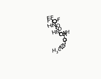 CN1CCN(Cc2ccc(-c3n[nH]c4cc(NC(=O)CC(=O)Nc5cc(F)cc(C(F)(F)F)c5)ccc34)cc2)CC1